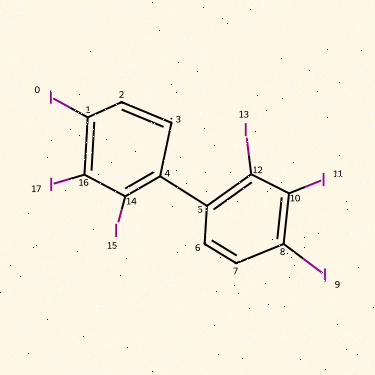 Ic1c[c]c(-c2ccc(I)c(I)c2I)c(I)c1I